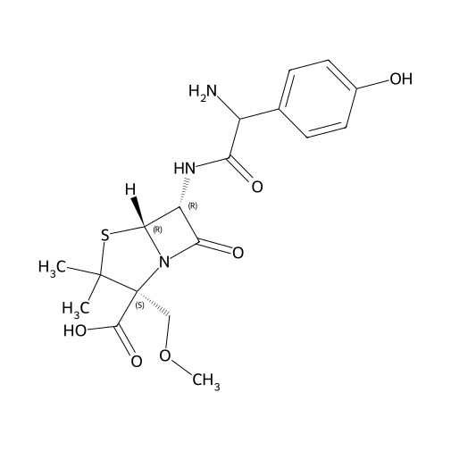 COC[C@@]1(C(=O)O)N2C(=O)[C@@H](NC(=O)C(N)c3ccc(O)cc3)[C@H]2SC1(C)C